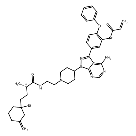 C=CC(=O)Nc1cc(-c2nn(C3CCN(CCNC(=O)[C@@H](C)CCC4(CC)CCCC(=C)C4)CC3)c3ncnc(N)c23)ccc1Oc1ccccc1